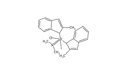 CC1=Cc2ccccc2[CH]1[Zr]([Cl])([I])([CH]1C(C)=Cc2ccccc21)=[Si](C)C